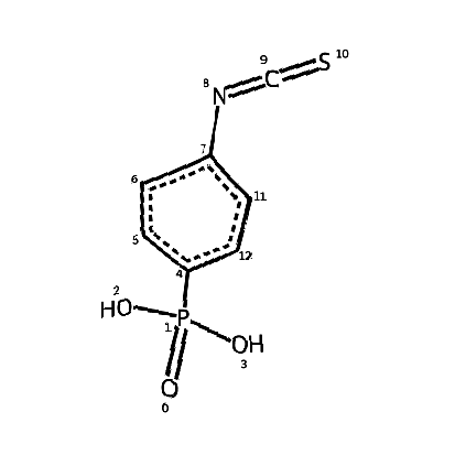 O=P(O)(O)c1ccc(N=C=S)cc1